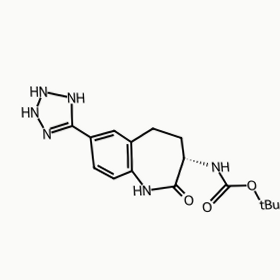 CC(C)(C)OC(=O)N[C@H]1CCc2cc(C3=NNNN3)ccc2NC1=O